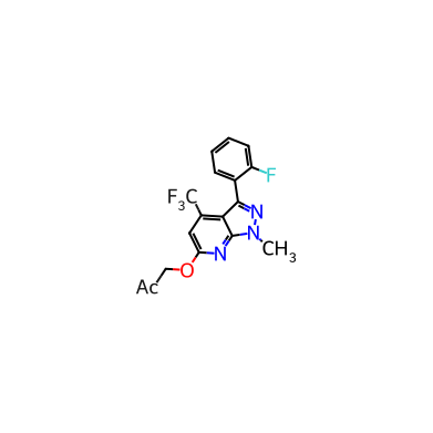 CC(=O)COc1cc(C(F)(F)F)c2c(-c3ccccc3F)nn(C)c2n1